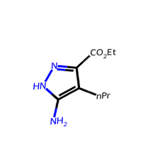 CCCc1c(C(=O)OCC)n[nH]c1N